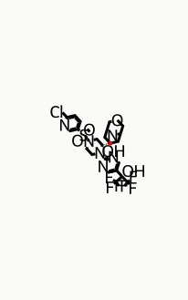 O=S(=O)(c1ccc(Cl)nc1)N1CCN(c2ncc(C(O)(C(F)(F)F)C(F)(F)F)cn2)[C@@H](CN2C3COCC2CC(O)C3)C1